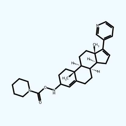 C[C@]12CCC(NOC(=O)N3CCCCC3)C=C1CC[C@H]1[C@@H]2CC[C@]2(C)C(c3cccnc3)=CC[C@@H]12